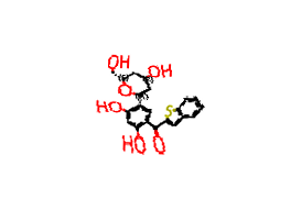 O=C(c1cc2ccccc2s1)c1cc([C@H]2C[C@@H](O)C[C@@H](CO)O2)c(O)cc1O